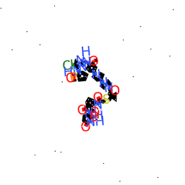 COc1cc(N2CCC(N3CCN(C(=O)CC4(CSCC(=O)Nc5cccc6c5C(=O)N(C5CCC(=O)NC5=O)C6=O)CC4)CC3)CC2)ccc1Nc1ncc(Cl)c(Nc2ccccc2P(C)(C)=O)n1